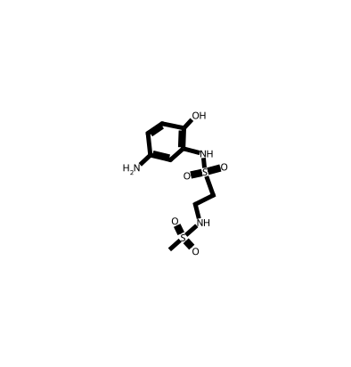 CS(=O)(=O)NCCS(=O)(=O)Nc1cc(N)ccc1O